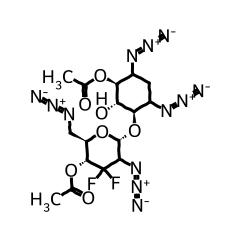 CC(=O)O[C@@H]1[C@@H](CN=[N+]=[N-])O[C@H](O[C@@H]2C(N=[N+]=[N-])CC(N=[N+]=[N-])[C@H](OC(C)=O)[C@H]2O)C(N=[N+]=[N-])C1(F)F